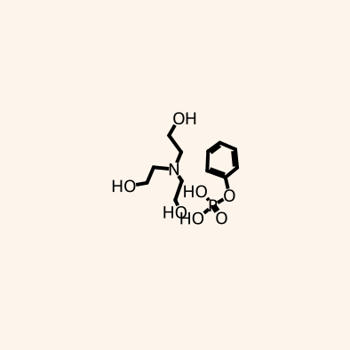 O=P(O)(O)Oc1ccccc1.OCCN(CCO)CCO